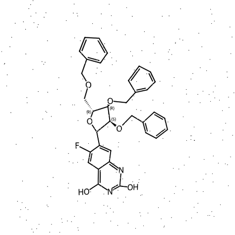 Oc1nc(O)c2cc(F)c(C3O[C@H](COCc4ccccc4)[C@@H](OCc4ccccc4)[C@H]3OCc3ccccc3)cc2n1